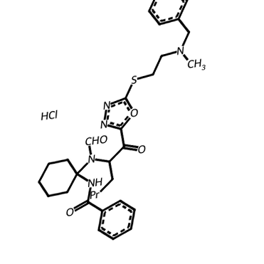 CC(C)CC(C(=O)c1nnc(SCCN(C)Cc2ccccc2)o1)N(C=O)C1(NC(=O)c2ccccc2)CCCCC1.Cl